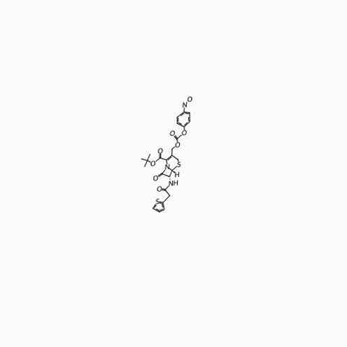 CC(C)(C)OC(=O)C1=C(COC(=O)Oc2ccc(N=O)cc2)CS[C@@H]2[C@H](NC(=O)Cc3cccs3)C(=O)N12